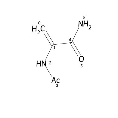 C=C(NC(C)=O)C(N)=O